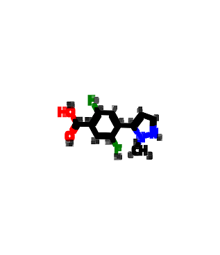 Cn1nccc1-c1cc(F)c(C(=O)O)cc1F